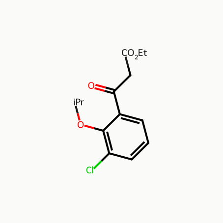 CCOC(=O)CC(=O)c1cccc(Cl)c1OC(C)C